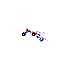 Cc1oc(-c2ccccc2)nc1CCOc1cccc(C(=O)N2CCN(c3nccc(C(F)(F)F)n3)CC2C=O)c1